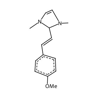 COc1ccc(/C=C/C2N(C)C=CN2C)cc1